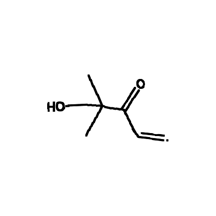 [CH]=CC(=O)C(C)(C)O